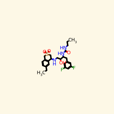 CCCNC(=O)NC(Cc1cc(F)cc(F)c1)C(O)CNC1CS(=O)(=O)Cc2ccc(CC)cc21